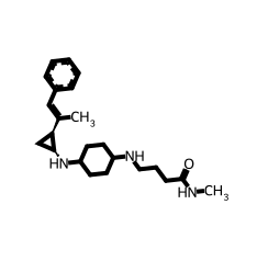 CNC(=O)CCCNC1CCC(N[C@@H]2C[C@H]2/C(C)=C/c2ccccc2)CC1